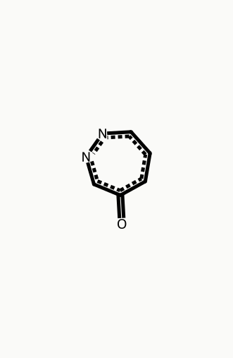 O=c1cccnnc1